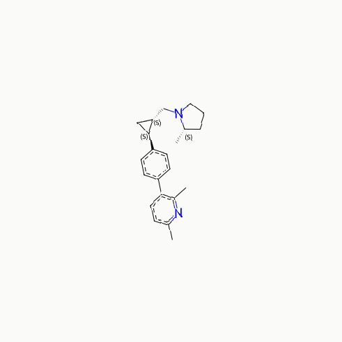 Cc1ccc(-c2ccc([C@H]3C[C@@H]3CN3CCC[C@@H]3C)cc2)c(C)n1